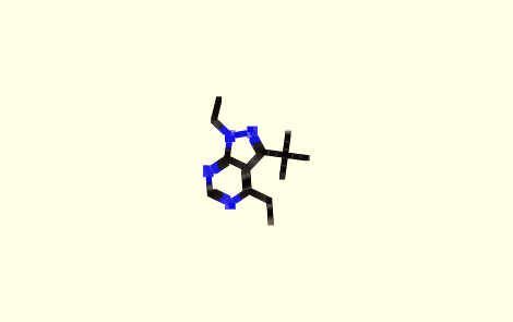 CCc1ncnc2c1c(C(C)(C)C)nn2CC